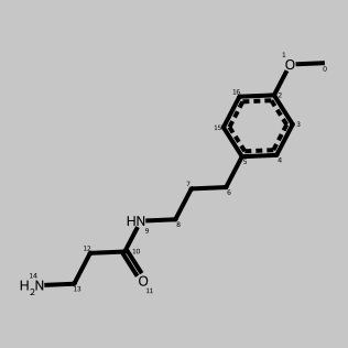 COc1ccc(CCCNC(=O)CCN)cc1